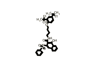 CCC(C)(C)c1ccc(OCCCCNC(=O)c2c(NS(=O)(=O)c3ccccc3)cc3ccccc3c2O)c(C(C)(C)CC)c1